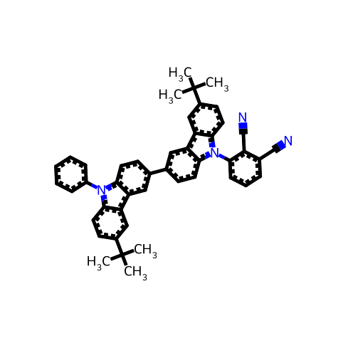 CC(C)(C)c1ccc2c(c1)c1cc(-c3ccc4c(c3)c3cc(C(C)(C)C)ccc3n4-c3cccc(C#N)c3C#N)ccc1n2-c1ccccc1